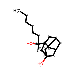 CCCCCCC(C)(O)C12CC3CC(CC(O)(C3)C1)C2